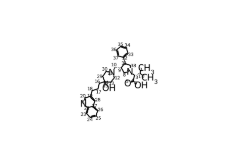 CC(C)[C@H](C(=O)O)N1C[C@H](CN2CCC(O)(CCCc3cnc4ccccc4c3)CC2)[C@@H](c2ccccc2)C1